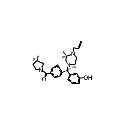 C=CCN1C[C@H](C)N([C@H](c2ccc(C(=O)N3CC[C@@H](C)C3)cc2)c2cccc(O)c2)C[C@H]1C